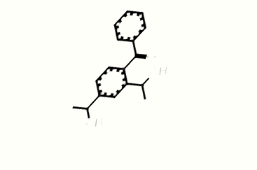 CC(O)c1ccc(C(=O)c2ccccc2)c(C(C)O)c1